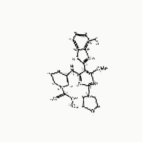 COc1nc(N2CCOCC2)nc(NC2CCCN(C(=O)OC(C)(C)C)C2)c1-c1nc2c(Cl)cccc2s1